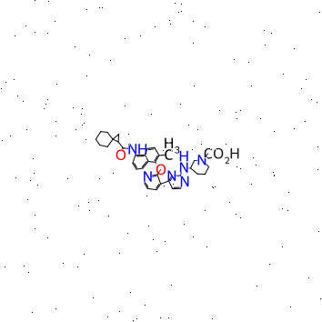 Cc1ccc2c(NC(=O)C3CC34CCCCC4)cccc2c1Oc1ncccc1-c1ccnc(N[C@H]2CCCN(C(=O)O)C2)n1